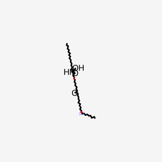 CCCCCCCC/C=C\CCCCCCCCCCCC(=O)CCCCCCCCCCC(=O)N[C@@H](CO)CCCCCCCCCCCCCCCC